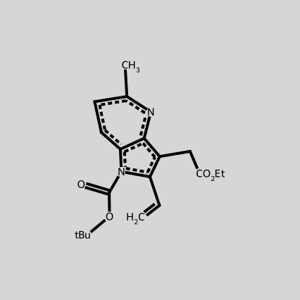 C=Cc1c(CC(=O)OCC)c2nc(C)ccc2n1C(=O)OC(C)(C)C